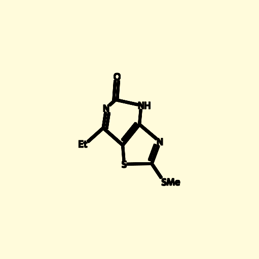 CCc1nc(=O)[nH]c2nc(SC)sc12